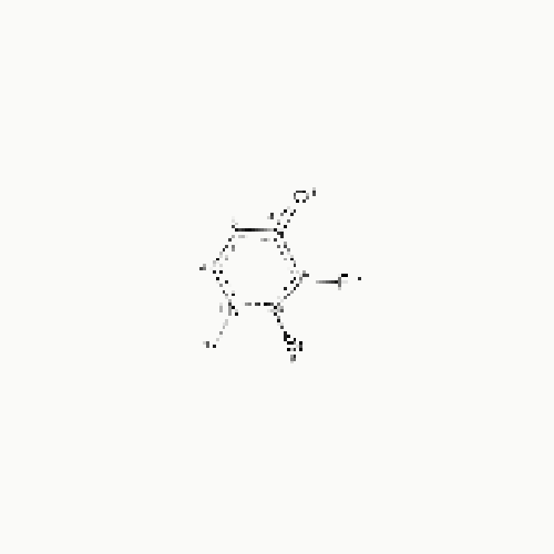 Cn1ccc(=O)c(F)c1Br